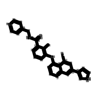 Cc1c(Oc2ccnc3cc(-c4cc[nH]c4)cc(F)c23)cccc1C(=O)NCc1ccncc1